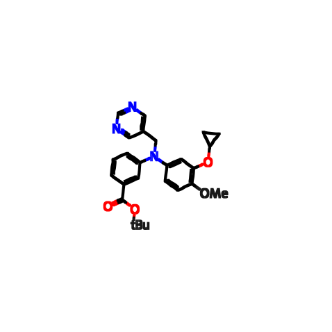 COc1ccc(N(Cc2cncnc2)c2cccc(C(=O)OC(C)(C)C)c2)cc1OC1CC1